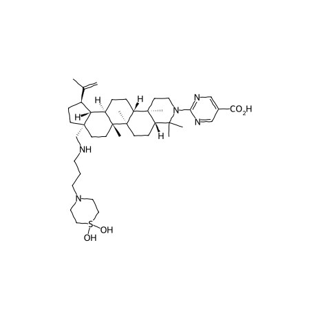 C=C(C)[C@@H]1CC[C@]2(CNCCCN3CCS(O)(O)CC3)CC[C@]3(C)[C@H](CC[C@@H]4[C@@]5(C)CCN(c6ncc(C(=O)O)cn6)C(C)(C)[C@@H]5CC[C@]43C)[C@@H]12